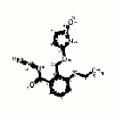 CCSc1cccc(C(=O)N=[N+]=[N-])c1COc1ccn(O)n1